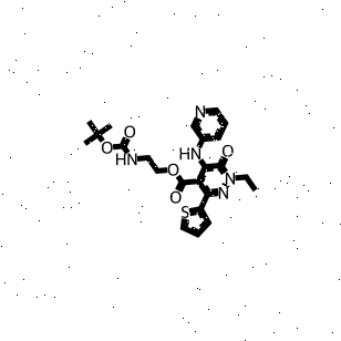 CCn1nc(-c2cccs2)c(C(=O)OCCNC(=O)OC(C)(C)C)c(Nc2cccnc2)c1=O